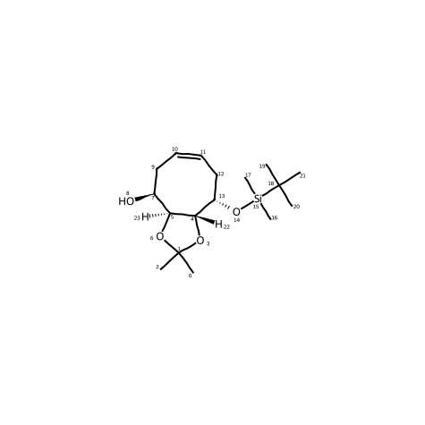 CC1(C)O[C@@H]2[C@@H](O1)[C@@H](O)C/C=C\C[C@@H]2O[Si](C)(C)C(C)(C)C